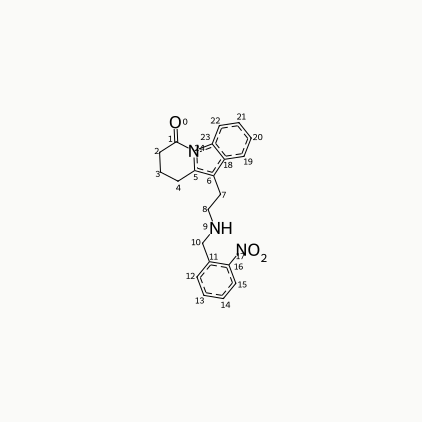 O=C1CCCc2c(CCNCc3ccccc3[N+](=O)[O-])c3ccccc3n21